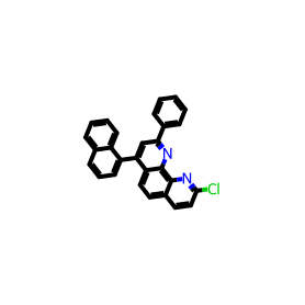 Clc1ccc2ccc3c(-c4cccc5ccccc45)cc(-c4ccccc4)nc3c2n1